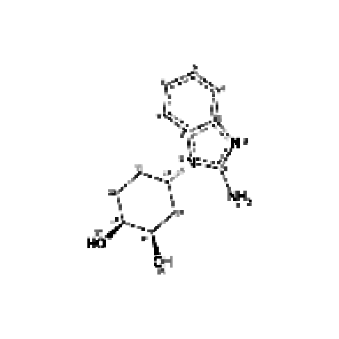 Nc1nc2ccccc2n1[C@H]1CC[C@H](O)[C@H](O)C1